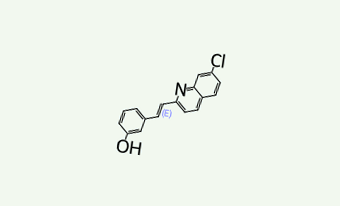 Oc1cccc(/C=C/c2ccc3ccc(Cl)cc3n2)c1